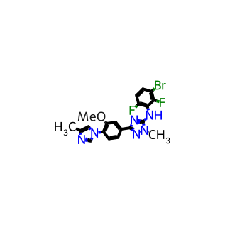 COc1cc(-c2nc(Nc3c(F)ccc(Br)c3F)n(C)n2)ccc1-n1cnc(C)c1